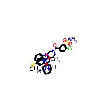 CSc1ccc(C2(CCN3[C@@H]4CC[C@H]3C[C@@H](n3c(C)nc5ccccc53)C4)CCN(C(=O)c3ccc(Cl)c(S(N)(=O)=O)c3)CC2)cc1